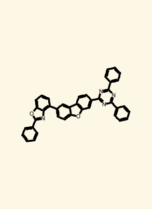 c1ccc(-c2nc(-c3ccccc3)nc(-c3ccc4c(c3)oc3ccc(-c5cccc6oc(-c7ccccc7)nc56)cc34)n2)cc1